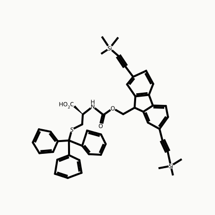 C[Si](C)(C)C#Cc1ccc2c(c1)C(COC(=O)N[C@@H](CSC(c1ccccc1)(c1ccccc1)c1ccccc1)C(=O)O)c1cc(C#C[Si](C)(C)C)ccc1-2